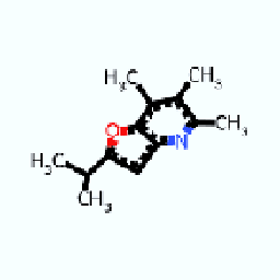 Cc1nc2cc(C(C)C)oc2c(C)c1C